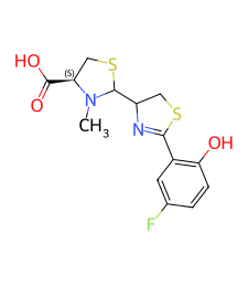 CN1C(C2CSC(c3cc(F)ccc3O)=N2)SC[C@@H]1C(=O)O